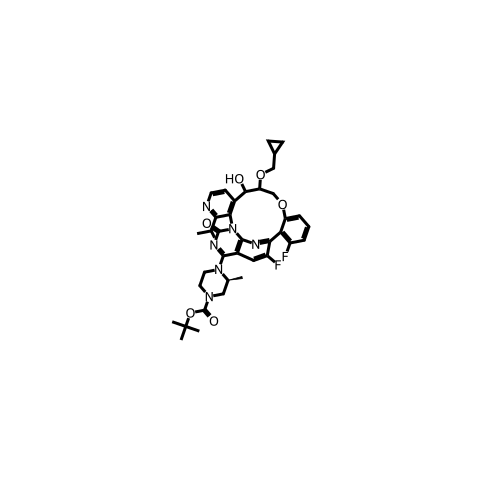 CC(C)c1nccc2c1-n1c(=O)nc(N3CCN(C(=O)OC(C)(C)C)C[C@@H]3C)c3cc(F)c(nc31)-c1c(F)cccc1OCC(OCC1CC1)C2O